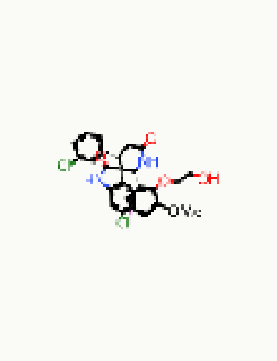 COc1cc(I)cc([C@H]2NC(=O)C[C@@H](c3cccc(Cl)c3)[C@]23C(=O)Nc2cc(Cl)ccc23)c1OCCO